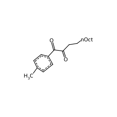 CCCCCCCCCCC(=O)C(=O)c1ccc(C)cc1